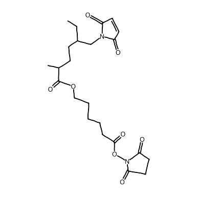 CCC(CCC(C)C(=O)OCCCCCC(=O)ON1C(=O)CCC1=O)CN1C(=O)C=CC1=O